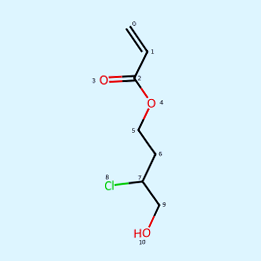 C=CC(=O)OCCC(Cl)CO